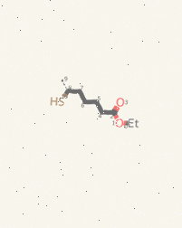 CCOC(=O)CCCC[C@@H](C)S